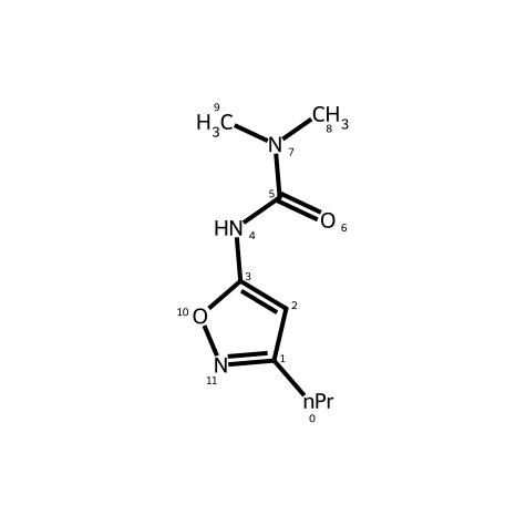 CCCc1cc(NC(=O)N(C)C)on1